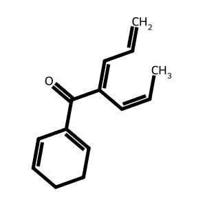 C=C/C=C(\C=C/C)C(=O)C1=CCCC=C1